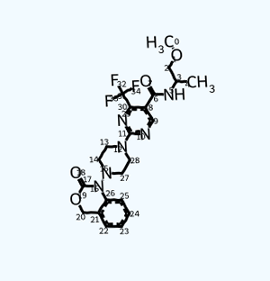 COCC(C)NC(=O)c1cnc(N2CCN(N3C(=O)OCc4ccccc43)CC2)nc1C(F)(F)F